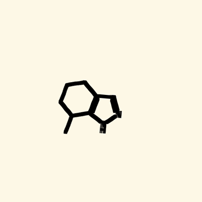 CC1CCCc2cn[nH]c21